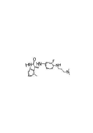 Cc1cccc2c1/C(=C/Nc1ccc(NCCCN(C)C)c(F)c1)C(=O)N2